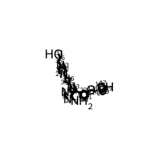 Nc1ncnc2c1c(-c1cccc(OC[C@]34CC[C@H](CC3)O4)c1)cn2C1CC(N2CC3CC2CN3CCO)C1